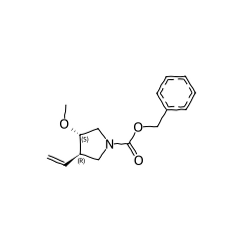 C=C[C@@H]1CN(C(=O)OCc2ccccc2)C[C@H]1OC